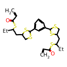 C=CC(=O)SC(CC)CC1CSC(c2cccc(C3SCC(CC(CC)SC(=O)C=C)S3)c2)S1